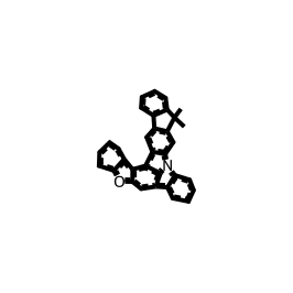 CC1(C)c2ccccc2-c2cc3c4c5c(cc6c7ccccc7n(c3cc21)c64)oc1ccccc15